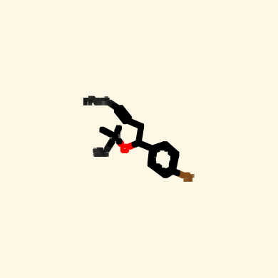 CCCCCC#CCC(O[Si](C)(C)C(C)(C)C)c1ccc(Br)cc1